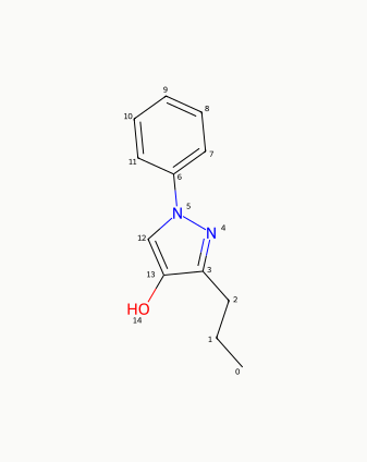 CCCc1nn(-c2ccccc2)cc1O